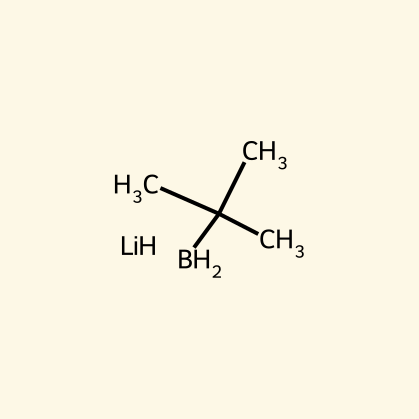 BC(C)(C)C.[LiH]